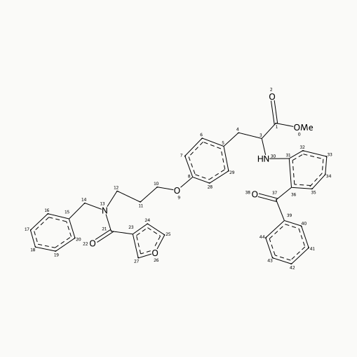 COC(=O)C(Cc1ccc(OCCCN(Cc2ccccc2)C(=O)c2ccoc2)cc1)Nc1ccccc1C(=O)c1ccccc1